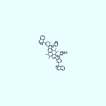 CC1c2cc3c4c(n(-c5cccnc5)c3c3c2-c2c(cc5c6cc(-c7nccc8ccccc78)ccc6n(-c6cc[nH]c6)c5c2C(C)C3C)C1C)CCC(c1nccc2ccccc12)=C4